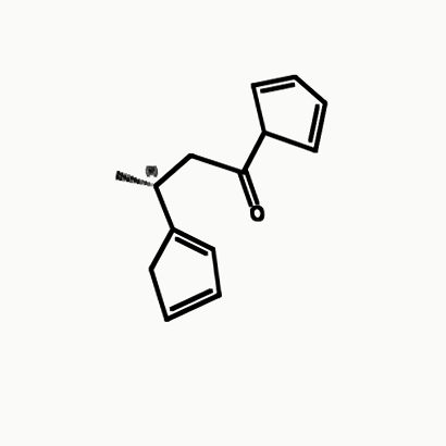 C[C@H](CC(=O)C1C=CC=C1)C1=CC=CC1